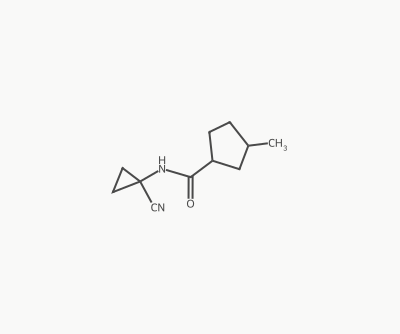 CC1CCC(C(=O)NC2(C#N)CC2)C1